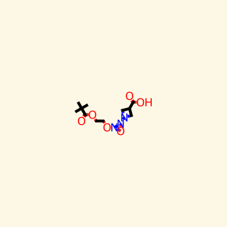 CC(C)(C)C(=O)OCCOn1on1N1CC(C(=O)O)C1